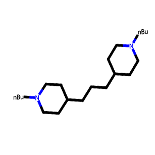 CCCCN1CCC(CCCC2CCN(CCCC)CC2)CC1